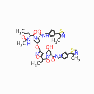 CCC[C@H](NC(C)=O)C(=O)N1C[C@H](OCc2cc(C(CC)C(=O)N3C[C@H](O)C[C@H]3C(=O)NCc3ccc(-c4scnc4C)cc3)on2)C[C@H]1C(=O)NCc1ccc(-c2scnc2C)cc1